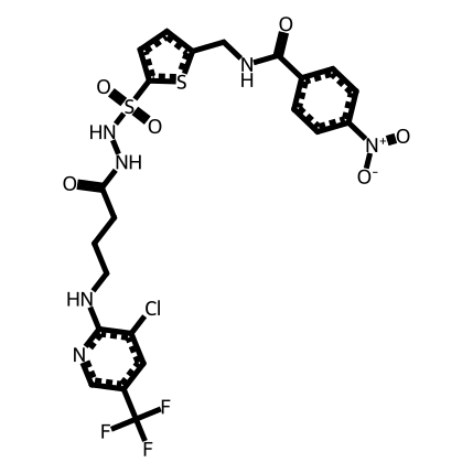 O=C(CCCNc1ncc(C(F)(F)F)cc1Cl)NNS(=O)(=O)c1ccc(CNC(=O)c2ccc([N+](=O)[O-])cc2)s1